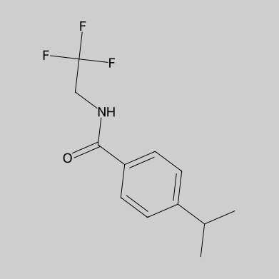 CC(C)c1ccc(C(=O)NCC(F)(F)F)cc1